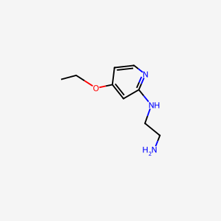 CCOc1ccnc(NCCN)c1